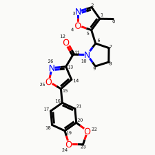 Cc1cnoc1C1CCCN1C(=O)c1cc(-c2ccc3c(c2)OCO3)on1